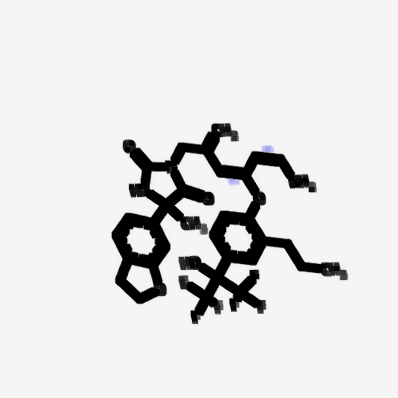 C=C(/C=C(\C=C/N)Oc1ccc(C(O)(C(F)(F)F)C(F)(F)F)cc1CCC)CN1C(=O)NC(C)(c2ccc3c(c2)OCC3)C1=O